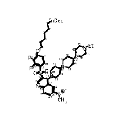 CCCCCCCCCCCCCCCCOc1ccc(S(=O)(=O)c2cnc3ccc([S+](C)[O-])cc3c2N2CCC(N3CCC(N4CCN(CC)CC4)CC3)CC2)c(F)c1F